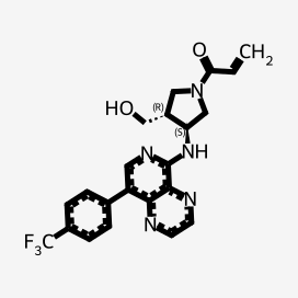 C=CC(=O)N1C[C@@H](CO)[C@H](Nc2ncc(-c3ccc(C(F)(F)F)cc3)c3nccnc23)C1